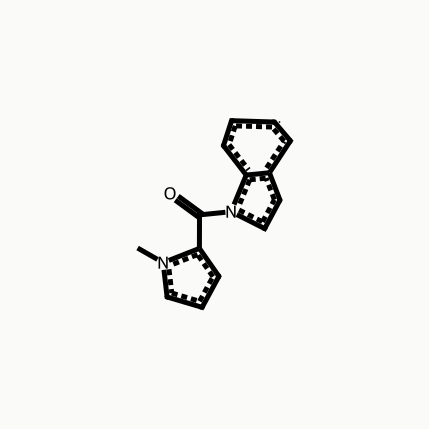 Cn1cccc1C(=O)n1ccc2c[c]ccc21